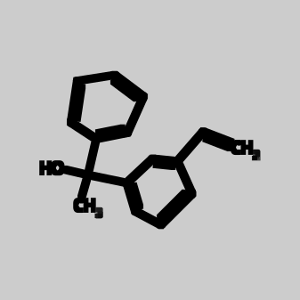 C=Cc1cccc(C(C)(O)c2ccccc2)c1